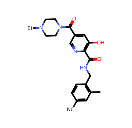 CCN1CCN(C(=O)c2cnc(C(=O)NCc3ccc(C#N)cc3C)c(O)c2)CC1